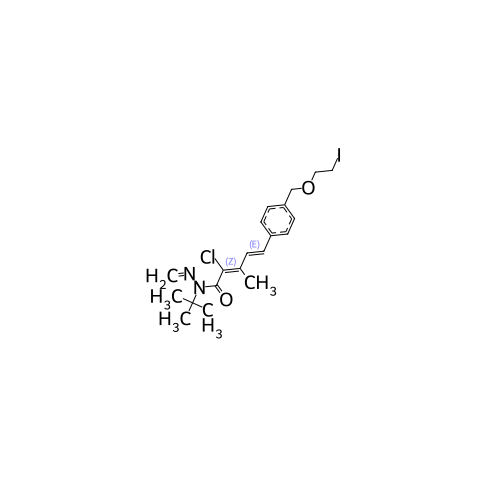 C=NN(C(=O)/C(Cl)=C(C)/C=C/c1ccc(COCCI)cc1)C(C)(C)C